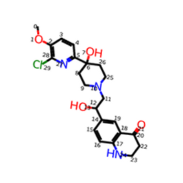 COc1ccc(C2(O)CCN(CC(O)c3ccc4c(c3)C(=O)CCN4)CC2)nc1Cl